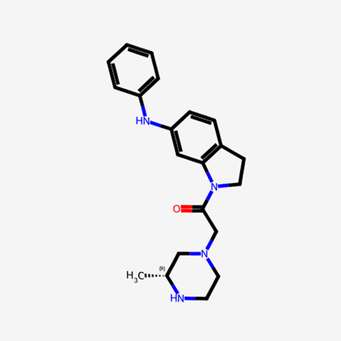 C[C@@H]1CN(CC(=O)N2CCc3ccc(Nc4ccccc4)cc32)CCN1